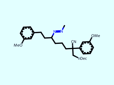 CCCCCCCCCCCC(C#N)(CCCC(CCc1cccc(OC)c1)N=NC)c1cccc(OC)c1